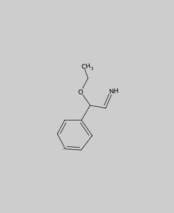 CCOC(C=N)c1cc[c]cc1